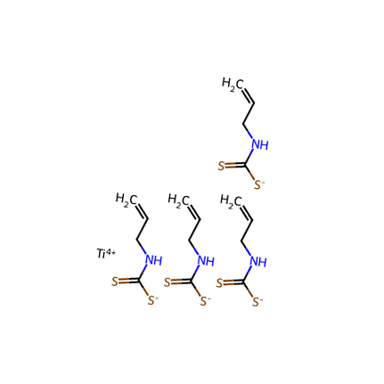 C=CCNC(=S)[S-].C=CCNC(=S)[S-].C=CCNC(=S)[S-].C=CCNC(=S)[S-].[Ti+4]